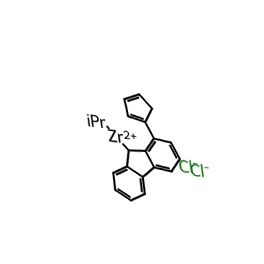 C[CH](C)[Zr+2][CH]1c2ccccc2-c2cccc(C3=CC=CC3)c21.[Cl-].[Cl-]